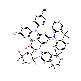 CC(C)(C)c1ccc(N2c3ccc(C(C)(C)C)cc3B3c4oc5c(c4N(c4ccc6c(c4)C(C)(C)CCC6(C)C)c4cc(N6c7ccccc7C(C)(C)c7ccccc76)cc2c43)C(C)(I)CCC5(C)C)cc1